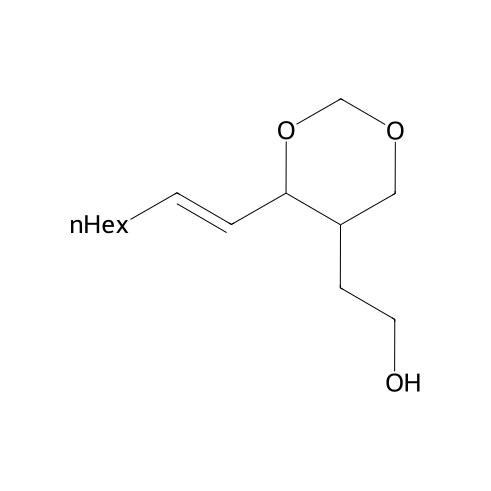 CCCCCCC=CC1OCOCC1CCO